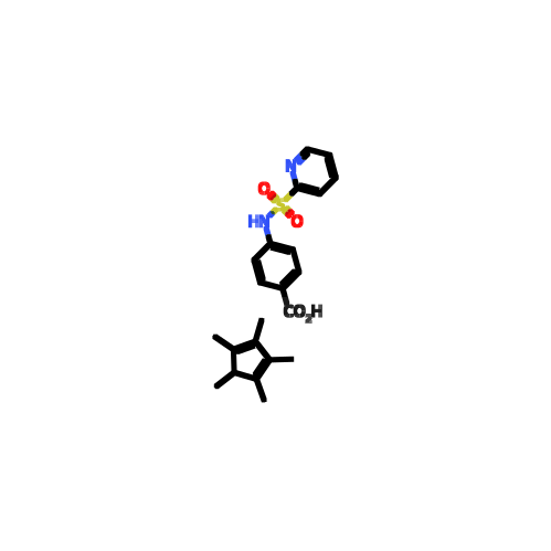 CC1=C(C)C(C)C(C)=C1C.O=C(O)c1ccc(NS(=O)(=O)c2ccccn2)cc1